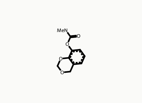 CNC(=O)Oc1cccc2c1OCOC2